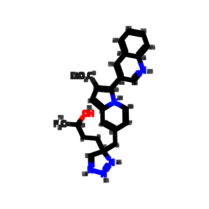 CCOC(=O)c1cc2cc(CC3(CCC(O)C(F)(F)F)C=NN=N3)ccn2c1-c1cnc2ccccc2c1